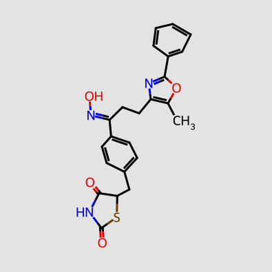 Cc1oc(-c2ccccc2)nc1CC/C(=N\O)c1ccc(CC2SC(=O)NC2=O)cc1